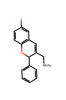 CC(=O)NCC1=Cc2cc(I)ccc2OC1c1ccccc1